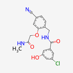 CNC(=O)COc1cc(C#N)ccc1CNC(=O)c1cc(O)cc(Cl)c1